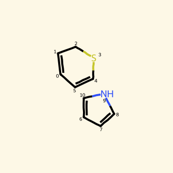 C1=CCSC=C1.c1cc[nH]c1